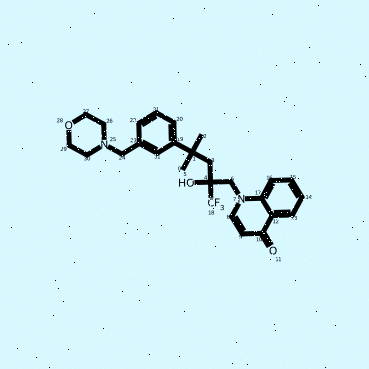 CC(C)(CC(O)(Cn1ccc(=O)c2ccccc21)C(F)(F)F)c1cccc(CN2CCOCC2)c1